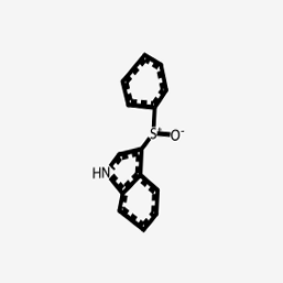 [O-][S+](c1ccccc1)c1c[nH]c2ccccc12